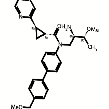 COCc1ccc(-c2ccc(N(C[C@@H](N)[C@@H](C)OC)C(=O)[C@@H]3C[C@H]3c3ccccn3)cc2)cc1